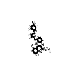 NC(=O)c1nc2cccc(Cc3ccc(-c4ccc(Cl)cc4)s3)c2nc1-c1ccccc1F